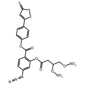 [N-]=[N+]=Nc1ccc(C(=O)Oc2ccc(-c3cc(=S)ss3)cc2)c(OC(=O)CC(CO[N+](=O)[O-])O[N+](=O)[O-])c1